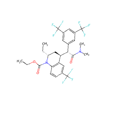 CCOC(=O)N1c2ccc(C(F)(F)F)cc2[C@H]([C@@H](C(=O)N(C)C)c2cc(C(F)(F)F)cc(C(F)(F)F)c2)C[C@H]1CC